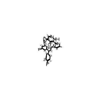 O=c1cn[nH]c(-c2nccn2CCC(c2ccc(F)cc2)c2cc(F)cc(F)c2)c1O